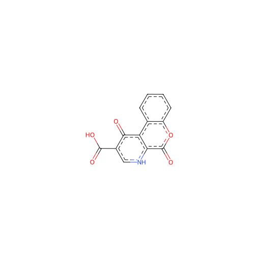 O=C(O)c1c[nH]c2c(=O)oc3ccccc3c2c1=O